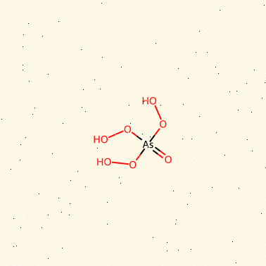 O=[As](OO)(OO)OO